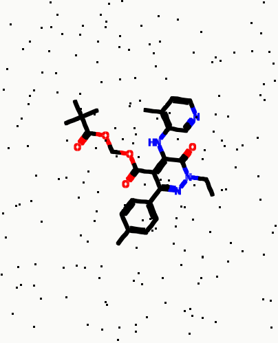 CCn1nc(-c2ccc(C)cc2)c(C(=O)OCOC(=O)C(C)(C)C)c(Nc2cnccc2C)c1=O